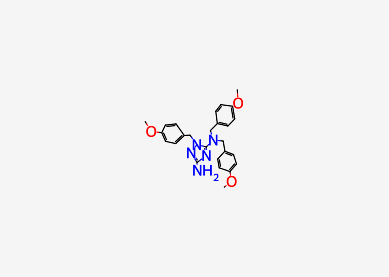 COc1ccc(CN(Cc2ccc(OC)cc2)c2nc(N)nn2Cc2ccc(OC)cc2)cc1